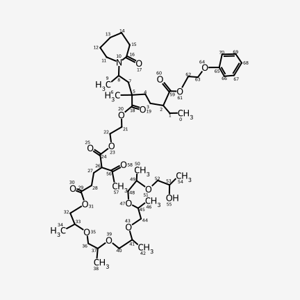 CCC(CCC(C)(CC(C)N1CCCCCC1=O)C(=O)OCCOC(=O)C(CCC(=O)OCC(C)OCC(C)OCC(C)OCC(C)OCC(C)OCC(C)O)C(C)=O)C(=O)OCCOc1ccccc1